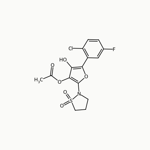 CC(=O)Oc1c(N2CCCS2(=O)=O)oc(-c2cc(F)ccc2Cl)c1O